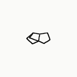 C1CC2C3CCC2(C1)C3